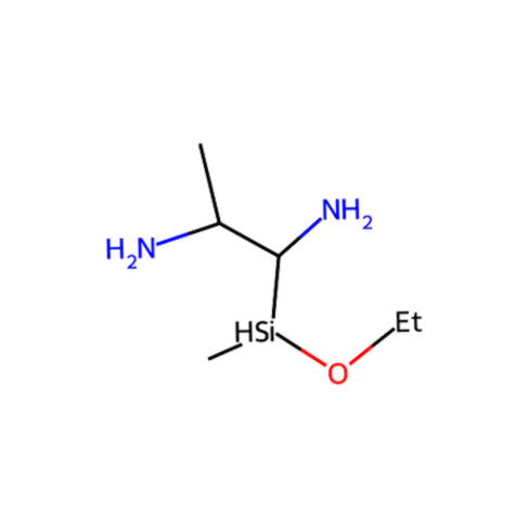 CCO[SiH](C)C(N)C(C)N